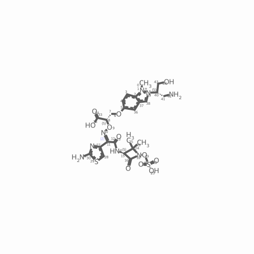 C[n+]1c2ccc(OC[C@H](O/N=C(\C(=O)N[C@@H]3C(=O)N(OS(=O)(=O)O)C3(C)C)c3csc(N)n3)C(=O)O)cc2cn1[C@@H](CN)CO